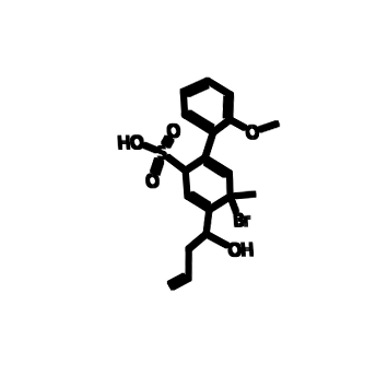 C=CCC(O)C1=CC(S(=O)(=O)O)C(c2ccccc2OC)=CC1(C)Br